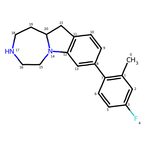 Cc1cc(F)ccc1-c1ccc2c(c1)N1CCNCCC1C2